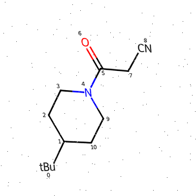 CC(C)(C)C1CCN(C(=O)CC#N)CC1